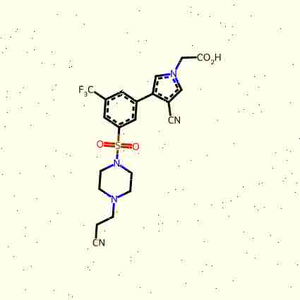 N#CCCN1CCN(S(=O)(=O)c2cc(-c3cn(CC(=O)O)cc3C#N)cc(C(F)(F)F)c2)CC1